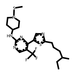 CCC(C)CCCc1ncc(-c2nc(NC3CCN(SC)CC3)ncc2C(F)(F)F)s1